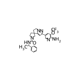 C[C@@H](NC(=O)N1CCC2(CCn3nc(-c4cnc(N)c(OC(F)(F)F)c4)cc32)C1)c1ccccc1